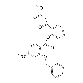 COC(=O)CC(=O)c1ccccc1OC(=O)c1ccc(OC)cc1OCc1ccccc1